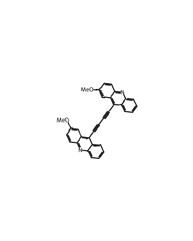 COc1ccc2nc3ccccc3c(C#CC#Cc3c4ccccc4nc4ccc(OC)cc34)c2c1